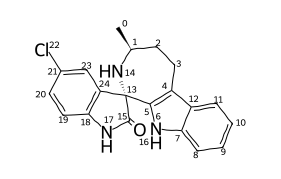 C[C@H]1CCc2c([nH]c3ccccc23)[C@@]2(N1)C(=O)Nc1ccc(Cl)cc12